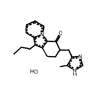 CCCc1c2c(n3ccccc13)C(=O)C(Cc1nc[nH]c1C)CC2.Cl